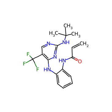 C=CC(=O)Nc1ccccc1Nc1nc(NC(C)(C)C)ncc1C(F)(F)F